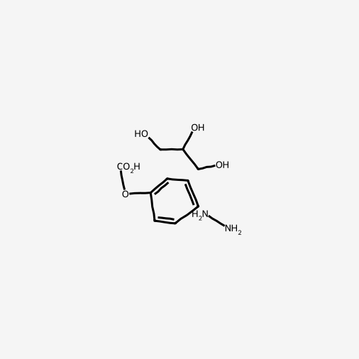 NN.O=C(O)Oc1ccccc1.OCC(O)CO